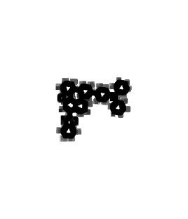 c1ccc(N(c2ccccc2)c2ccc(-c3ccc(-c4cccc5oc6cc(-c7nc8ccccc8o7)c7ccccc7c6c45)cc3)cc2)cc1